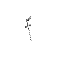 CCCCCCCCCCCC(=O)NCCC[N+](C)(C)CC(=O)[O-]